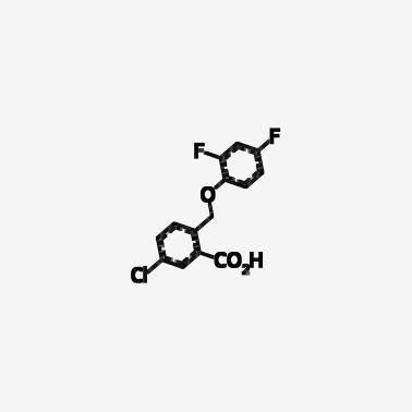 O=C(O)c1cc(Cl)ccc1COc1ccc(F)cc1F